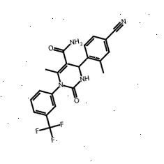 CC1=C(C(N)=O)C(c2ccc(C#N)cc2C)NC(=O)N1c1cccc(C(F)(F)F)c1